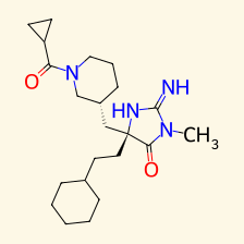 CN1C(=N)N[C@@](CCC2CCCCC2)(C[C@H]2CCCN(C(=O)C3CC3)C2)C1=O